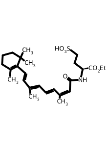 CCOC(=O)[C@H](CCS(=O)(=O)O)NC(=O)/C=C(/C)C=CC=C(C)C=CC1=C(C)CCCC1(C)C